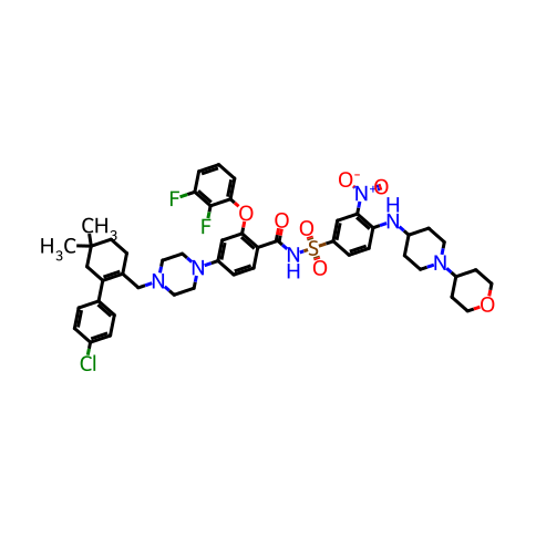 CC1(C)CCC(CN2CCN(c3ccc(C(=O)NS(=O)(=O)c4ccc(NC5CCN(C6CCOCC6)CC5)c([N+](=O)[O-])c4)c(Oc4cccc(F)c4F)c3)CC2)=C(c2ccc(Cl)cc2)C1